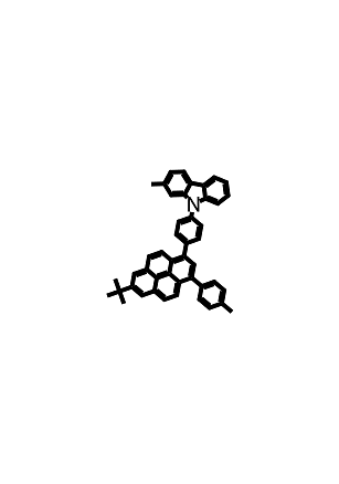 Cc1ccc(-c2cc(-c3ccc(-n4c5ccccc5c5ccc(C)cc54)cc3)c3ccc4cc(C(C)(C)C)cc5ccc2c3c54)cc1